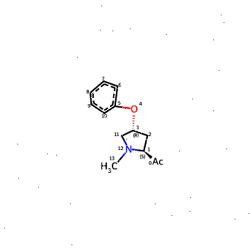 CC(=O)[C@@H]1C[C@@H](Oc2ccccc2)CN1C